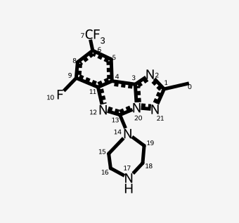 Cc1nc2c3cc(C(F)(F)F)cc(F)c3nc(N3CCNCC3)n2n1